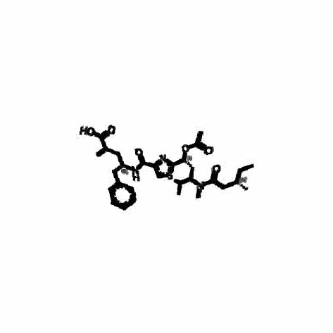 CC[C@H](C)CC(=O)N(C)C(C[C@@H](OC(C)=O)c1nc(C(=O)N[C@@H](Cc2ccccc2)CC(C)C(=O)O)cs1)C(C)C